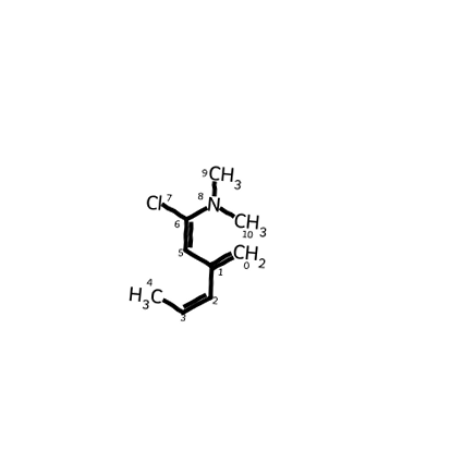 C=C(/C=C\C)/C=C(/Cl)N(C)C